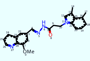 COc1cc(C=NNC(=O)CCn2cc(C)c3c(C)cccc32)cc2cccnc12